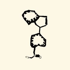 O=[N+]([O-])c1ccc(C2C=Cc3ccccc32)cc1